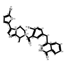 CC1c2ncc(-c3ccc(Br)o3)n2CCN1C(=O)c1cc(Cc2n[nH]c(=O)c3ccccc23)ccc1F